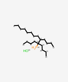 CCCCCCCCC(CCCC)C(P)(CCCC)CCCC.Cl